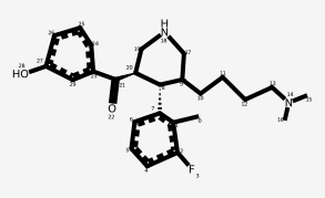 Cc1c(F)cccc1[C@H]1[C](CCCCN(C)C)CNC[C@@H]1C(=O)c1cccc(O)c1